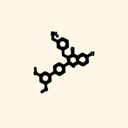 COc1cc(OC)cc(-c2ccc(-c3nc4ccc(Cl)cc4c(=O)n3Cc3cccc(CN)c3)cc2)c1